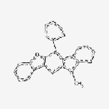 Cn1c2ccccc2c2c(-c3ccccc3)c3oc4ccccc4c3cc21